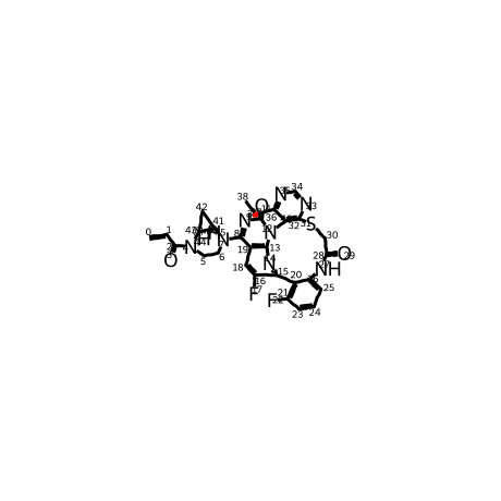 C=CC(=O)N1CCN(c2nc(=O)n3c4nc(c(F)cc24)-c2c(F)cccc2NC(=O)CSc2ncnc(C(C)C)c2-3)[C@@H]2C[C@@H]21